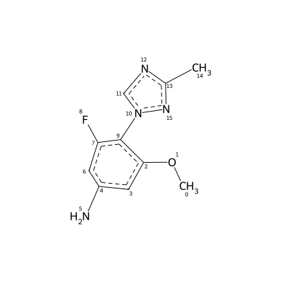 COc1cc(N)cc(F)c1-n1cnc(C)n1